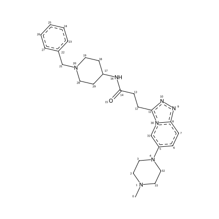 CN1CCN(c2ccc3nnc(CCC(=O)NC4CCN(Cc5ccccc5)CC4)n3c2)CC1